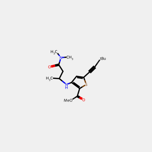 COC(=O)c1sc(C#CC(C)(C)C)cc1NC(C)CC(=O)N(C)C